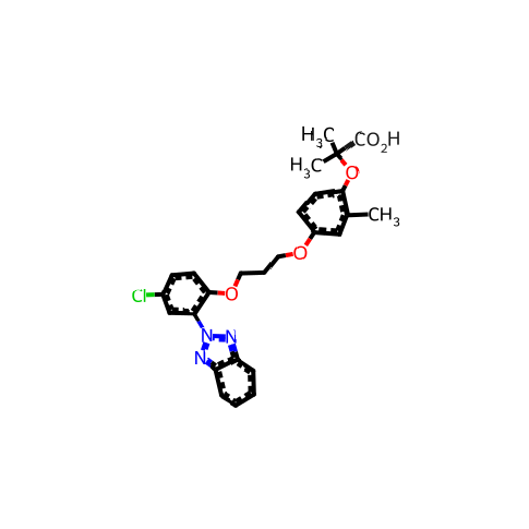 Cc1cc(OCCCOc2ccc(Cl)cc2-n2nc3ccccc3n2)ccc1OC(C)(C)C(=O)O